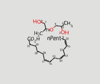 CC(O)COC(C)CO.CCCCC/C=C\C/C=C\C/C=C\CCCCC(=O)O